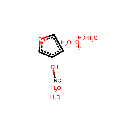 O.O.O.O.O.O.O=[N+]([O-])O.c1ccoc1